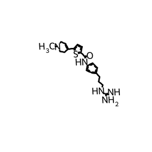 CN1CC=C(c2ccc(C(=O)Nc3ccc(CCCNC(=N)N)cc3)s2)CC1